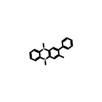 Cc1cc2c(cc1-c1ccccc1)N(C)c1ccccc1N2C